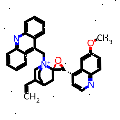 C=CC1C[N+]2(Cc3c4ccccc4nc4ccccc34)CCC1C[C@]21O[C@@H]1c1ccnc2ccc(OC)cc12